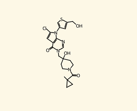 CC1(C(=O)N2CCC(O)(Cn3cnc4c(cc(Cl)n4-c4csc(CO)c4)c3=O)CC2)CC1